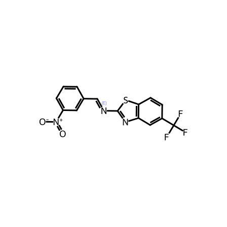 O=[N+]([O-])c1cccc(/C=N/c2nc3cc(C(F)(F)F)ccc3s2)c1